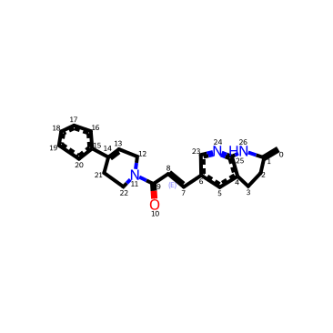 C=C1CCc2cc(/C=C/C(=O)N3CC=C(c4ccccc4)CC3)cnc2N1